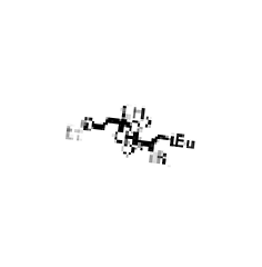 CCOCCC(C)(C)OC(=O)C(CC(C)(C)C)C(C)(C)C